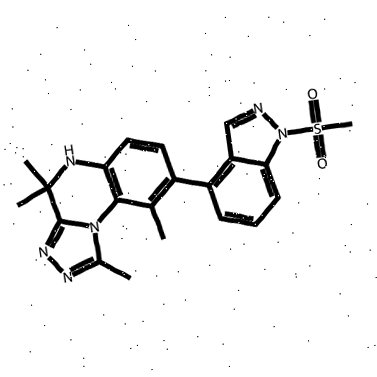 Cc1c(-c2cccc3c2cnn3S(C)(=O)=O)ccc2c1-n1c(C)nnc1C(C)(C)N2